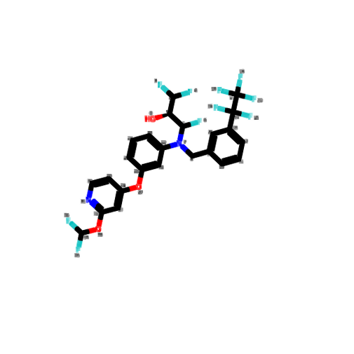 O[C@@H](C(F)F)C(F)N(Cc1cccc(C(F)(F)C(F)(F)F)c1)c1cccc(Oc2ccnc(OC(F)F)c2)c1